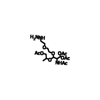 CC(=O)NC(C(OC(C)=O)OC(C)=O)C(OCCOCCNN)OC(C)COC(C)=O